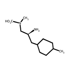 CC1CCC(C[C@H](N)CN(C)C(=O)O)CC1